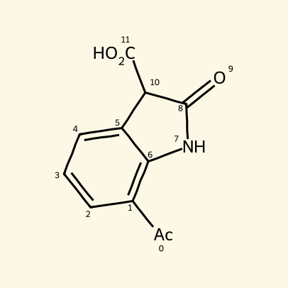 CC(=O)c1cccc2c1NC(=O)C2C(=O)O